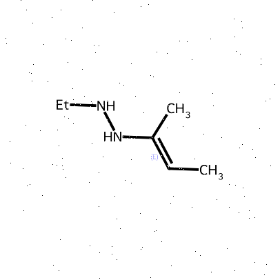 C/C=C(\C)NNCC